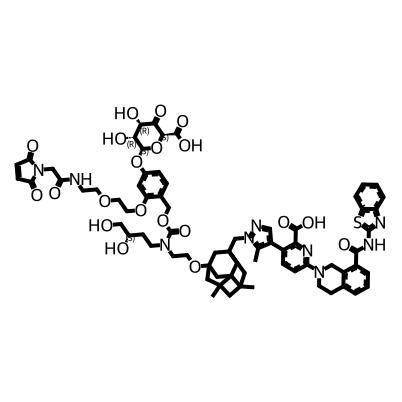 Cc1c(-c2ccc(N3CCc4cccc(C(=O)Nc5nc6ccccc6s5)c4C3)nc2C(=O)O)cnn1CC12CC3(OCCN(CC[C@H](O)CO)C(=O)OCc4ccc(O[C@@H]5O[C@H](C(=O)O)C(=O)[C@H](O)[C@H]5O)cc4OCCOCCNC(=O)CN4C(=O)C=CC4=O)CC4(C)CC(C)(C1)C4(C2)C3